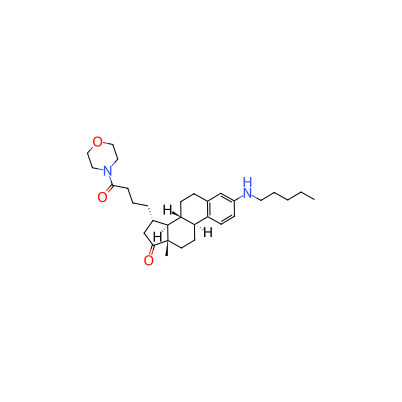 CCCCCNc1ccc2c(c1)CC[C@H]1[C@@H]3[C@@H](CCCC(=O)N4CCOCC4)CC(=O)[C@@]3(C)CC[C@H]21